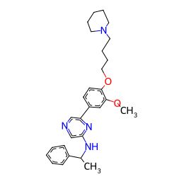 COc1cc(-c2cncc(NC(C)c3ccccc3)n2)ccc1OCCCCN1CCCCC1